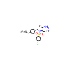 CNCc1ccc(CN([C@H](CC(C)C)C(N)=O)S(=O)(=O)c2ccc(Cl)cc2)cc1